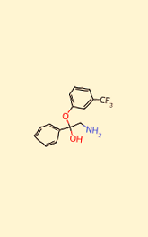 NCC(O)(Oc1cccc(C(F)(F)F)c1)c1ccccc1